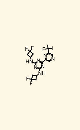 CC(F)(I)c1cncc(-c2nc(NC3CC(F)(F)C3)nc(NC3CC(F)(F)C3)n2)n1